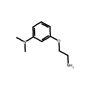 CN(C)c1cccc(OCCN)c1